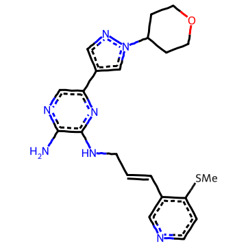 CSc1ccncc1/C=C/CNc1nc(-c2cnn(C3CCOCC3)c2)cnc1N